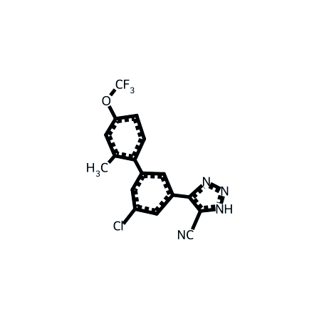 Cc1cc(OC(F)(F)F)ccc1-c1cc(Cl)cc(-c2nn[nH]c2C#N)c1